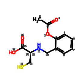 CC(=O)Oc1ccccc1CN[C@@H](CS)C(=O)O